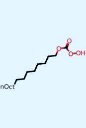 CCCCCCCCCCCCCCCCOC(=O)OO